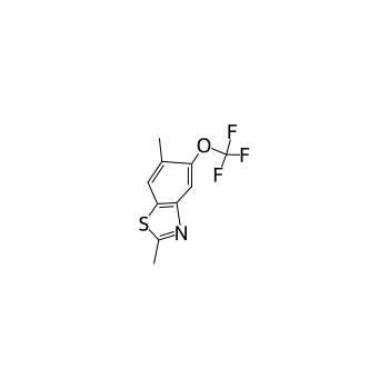 Cc1nc2cc(OC(F)(F)F)c(C)cc2s1